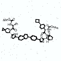 COC(=O)N[C@H](C(=O)N1[C@@H]2CC[C@@H](C2)[C@H]1c1ncc(-c2ccc(-c3ccc4cc(-c5cnc([C@@H]6CC7(CC7)CN6C(=O)[C@@H](NC(=O)OC)C(C)C)[nH]5)ccc4c3)cc2)[nH]1)c1ccc(C2CCC2)cc1